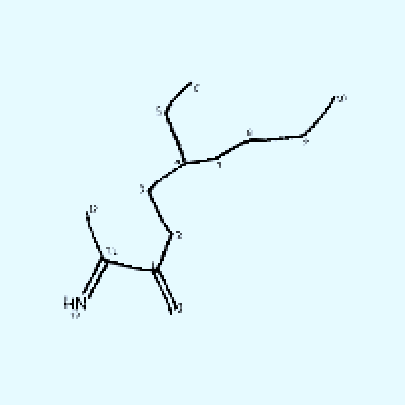 C=C(CCC(CC)CCCC)C(C)=N